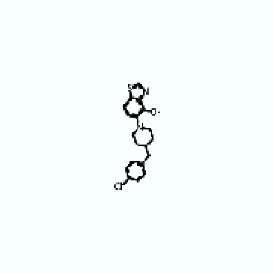 [O]c1c(N2CCC(Cc3ccc(Cl)cc3)CC2)ccc2scnc12